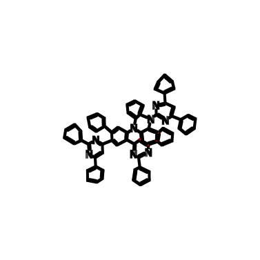 c1ccc(-c2cc(-c3cc(-c4cc(-c5ccccc5)nc(-c5ccccc5)n4)c(N4c5ccccc5N(c5nc(-c6ccccc6)cc(-c6ccccc6)n5)c5ccccc54)cc3-c3ccccc3)nc(-c3ccccc3)n2)cc1